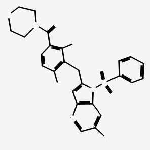 O=C(c1ccc(Cl)c(Cc2cc3ncc(C(F)(F)F)cc3n2S(=O)(=O)c2ccccc2)c1Cl)N1CCOCC1